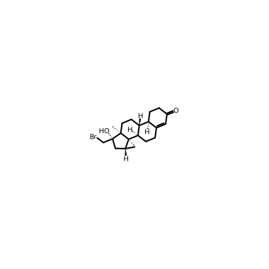 C[C@]12CC[C@H]3[C@@H](CCC4=CC(=O)CC[C@@H]43)[C@]13C[C@@H]3C[C@@]2(O)CBr